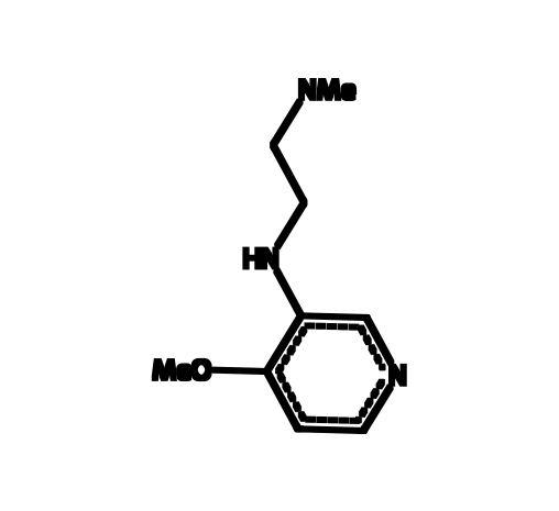 CNCCNc1cnccc1OC